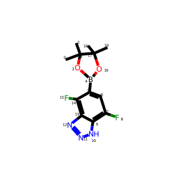 CC1(C)OB(c2cc(F)c3[nH]nnc3c2F)OC1(C)C